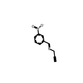 C#CCN=Cc1cccc([N+](=O)[O-])c1